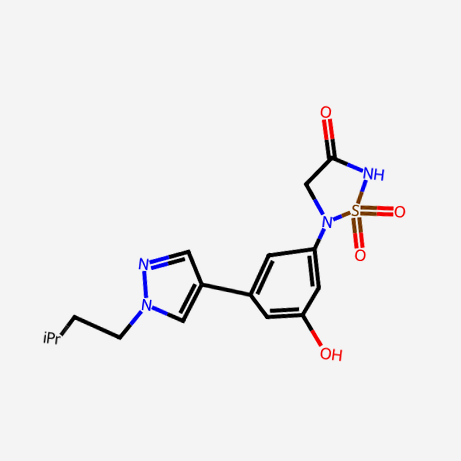 CC(C)CCn1cc(-c2cc(O)cc(N3CC(=O)NS3(=O)=O)c2)cn1